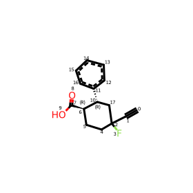 C#CC1(F)CC[C@@H](C(=O)O)[C@H](c2ccccc2)C1